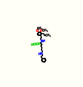 CCCc1c(CCNCCCCCCNCCc2ccccc2)ccc(OC)c1OC.Cl.Cl